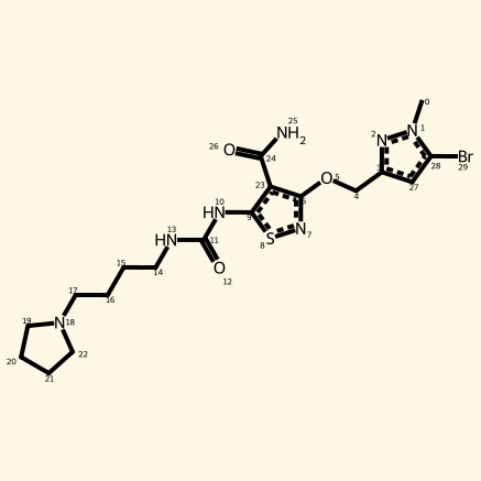 Cn1nc(COc2nsc(NC(=O)NCCCCN3CCCC3)c2C(N)=O)cc1Br